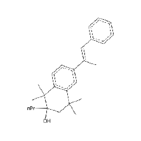 CCCC1(O)CC(C)(C)c2cc(/C(C)=C/c3ccccc3)ccc2C1(C)C